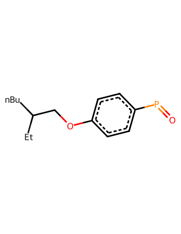 CCCCC(CC)COc1ccc(P=O)cc1